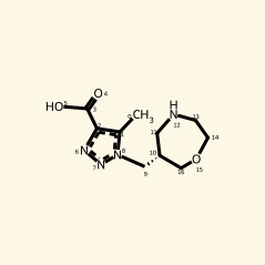 Cc1c(C(=O)O)nnn1C[C@@H]1CNCCOC1